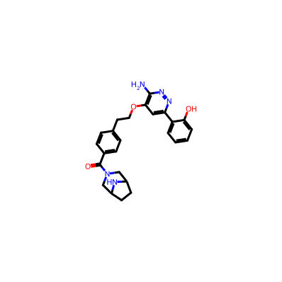 Nc1nnc(-c2ccccc2O)cc1OCCc1ccc(C(=O)N2CC3CCC(C2)N3)cc1